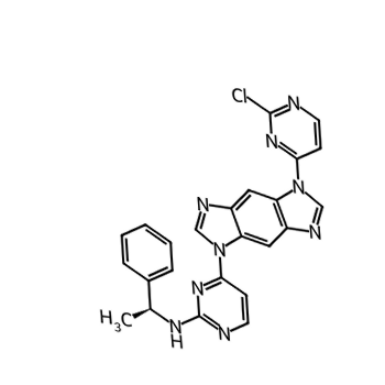 C[C@H](Nc1nccc(-n2cnc3cc4c(cc32)ncn4-c2ccnc(Cl)n2)n1)c1ccccc1